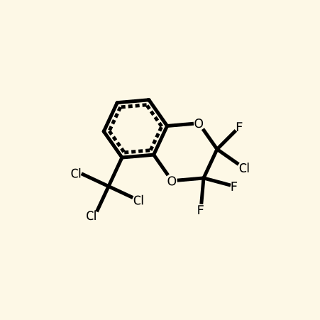 FC1(F)Oc2c(cccc2C(Cl)(Cl)Cl)OC1(F)Cl